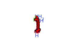 NC(=S)c1cccc(-c2cn(CC(CF)CF)c3cc(NC(=O)CCOCCOCCOCCOCCC#Cc4cccc5c4C(=O)N(C4CCC(=O)NC4=O)C5=O)ccc23)c1